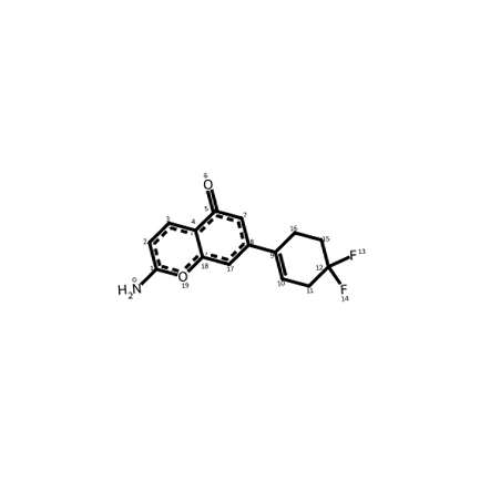 Nc1ccc2c(=O)cc(C3=CCC(F)(F)CC3)cc-2o1